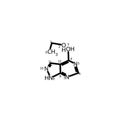 CCO.Oc1ncnc2[nH]ncc12